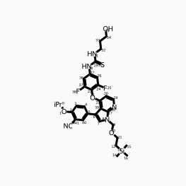 CC(C)Oc1ccc(-c2cn(COCC[Si](C)(C)C)c3nccc(Oc4c(F)cc(NC(=S)NCCCO)cc4F)c23)cc1C#N